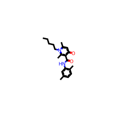 CCCCCn1c(C)cc(=O)c(C(=O)Nc2cc(C)ccc2C)c1C